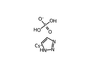 O=P([O-])(O)O.[Cs+].c1c[nH]nn1